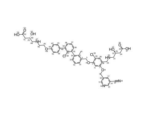 Cc1c(COc2cc(OCc3cncc(C#N)c3)c(CNC[C@@H](O)CC(=O)O)cc2Cl)cccc1-c1cccc(-c2ccc(OCCNC[C@@H](O)CC(=O)O)cc2)c1Cl